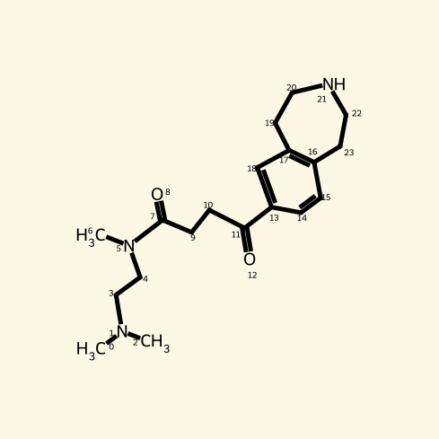 CN(C)CCN(C)C(=O)CCC(=O)c1ccc2c(c1)CCNCC2